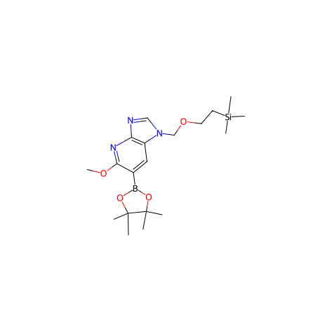 COc1nc2ncn(COCC[Si](C)(C)C)c2cc1B1OC(C)(C)C(C)(C)O1